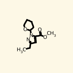 CCc1cc(C(=O)OC)n(C2CCCCO2)n1